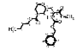 CCCCOC(=O)N1CCO[C@@H](C[C@H](NC(=O)OCc2ccccc2)C(=O)OC)C1